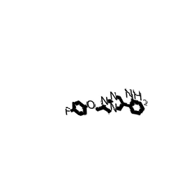 Nc1ccccc1-c1cnc2nc(COc3ccc(F)cc3)cn2c1